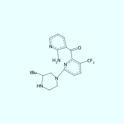 CC(C)(C)C1CN(c2ccc(C(F)(F)F)c(C(=O)c3cccnc3N)n2)CCN1